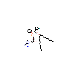 CCCCCCCCCC(CCCCCCCCC)COC(=O)[C@H](Cc1cc(F)cc(F)c1)N[P@](=O)(OC[C@@]1(C)O[C@@H](n2cnc3c(N)nc(F)nc32)C[C@@H]1O)Oc1ccccc1